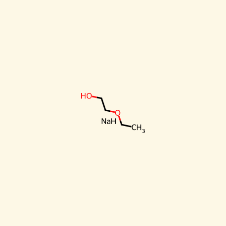 CCOCCO.[NaH]